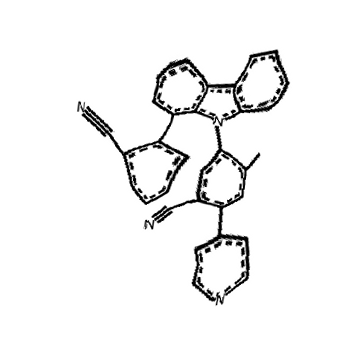 Cc1cc(-c2ccncc2)c(C#N)cc1-n1c2ccccc2c2cccc(-c3ccccc3C#N)c21